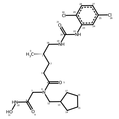 C[C@@H](CCC(=O)N(CC(=O)NO)CC1CCCC1)CNC(=O)Nc1cc(Cl)ccc1Cl